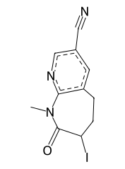 CN1C(=O)C(I)CCc2cc(C#N)cnc21